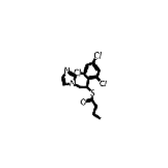 CCCC(=O)SC(Cn1ccnc1)c1c(Cl)cc(Cl)cc1Cl